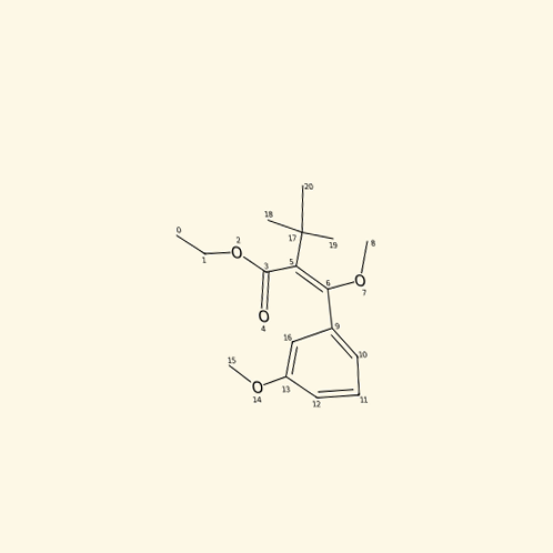 CCOC(=O)/C(=C(/OC)c1cccc(OC)c1)C(C)(C)C